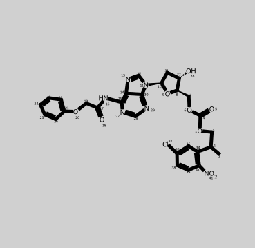 CC(COC(=O)OC[C@H]1O[C@@H](n2cnc3c(NC(=O)COc4ccccc4)ncnc32)C[C@@H]1O)c1cc(Cl)ccc1[N+](=O)[O-]